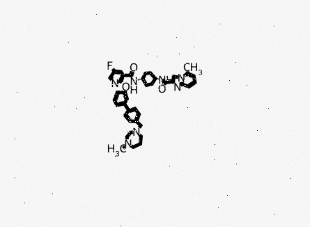 CC1=CC=CC2=NC(C(=O)N[C@H]3CC[C@@H](NC(=O)c4cc(F)cnc4Oc4cccc(-c5ccc(CN6CCCN(C)CC6)cc5)c4)CC3)CN12